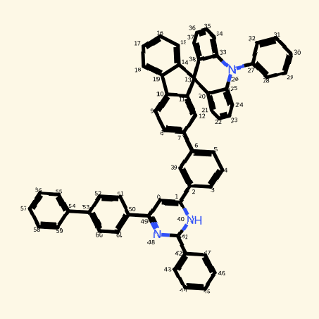 C1=C(c2cccc(-c3ccc4c(c3)C3(c5ccccc5-4)c4ccccc4N(c4ccccc4)c4ccccc43)c2)NC(c2ccccc2)N=C1c1ccc(-c2ccccc2)cc1